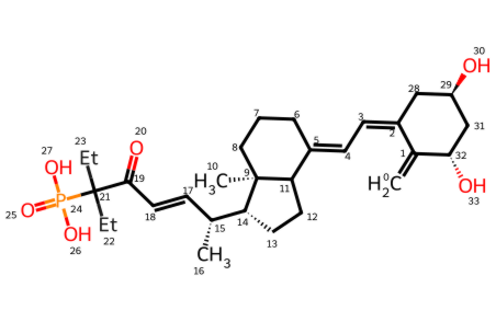 C=C1/C(=C\C=C2/CCC[C@@]3(C)C2CC[C@@H]3[C@H](C)/C=C/C(=O)C(CC)(CC)P(=O)(O)O)C[C@@H](O)C[C@@H]1O